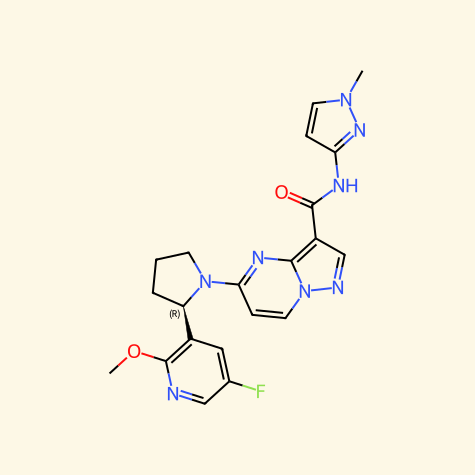 COc1ncc(F)cc1[C@H]1CCCN1c1ccn2ncc(C(=O)Nc3ccn(C)n3)c2n1